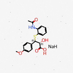 COc1ccc([C@@H](Sc2ccccc2NC(C)=O)[C@H](O)C(=O)O)cc1.[NaH]